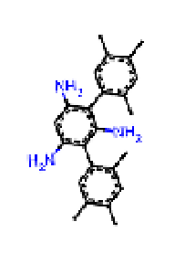 Cc1cc(C)c(-c2c(N)cc(N)c(-c3cc(C)c(C)cc3C)c2N)cc1C